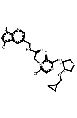 O=C(Cn1c(Cl)cnc(N[C@@H]2COC[C@H]2OCC2CC2)c1=O)NCc1cnc2[nH]cc(Cl)c2c1